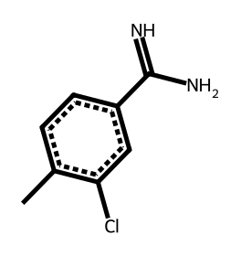 Cc1ccc(C(=N)N)cc1Cl